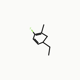 CCC1C=CC(F)=C(C)C1